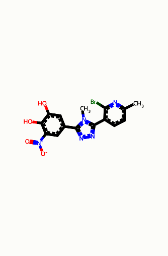 Cc1ccc(-c2nnc(-c3cc(O)c(O)c([N+](=O)[O-])c3)n2C)c(Br)n1